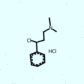 CN(C)CCC(Cl)c1ccccc1.Cl